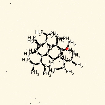 [3H]P(P(P(P(P)P)P(P)P)P(P(P)P)P(P)P)P(P(P(P)PP)P(P(P)P)P(P)P)P(P(P(P)P)P(P)P)P(P(P)P)P(P)P